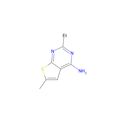 CCc1nc(N)c2cc(C)sc2n1